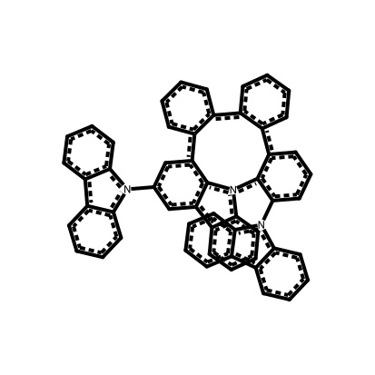 c1ccc2c(c1)c1ccccc1c1cc(-n3c4ccccc4c4ccccc43)cc3c4ccccc4n(c4c(-n5c6ccccc6c6ccccc65)cccc24)c13